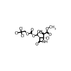 COC(=O)C(=O)[C@@]1(Cl)NC(=O)[C@H]1C(C)OC(=O)OCC(Cl)(Cl)Cl